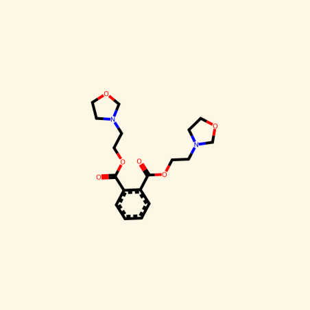 O=C(OCCN1CCOC1)c1ccccc1C(=O)OCCN1CCOC1